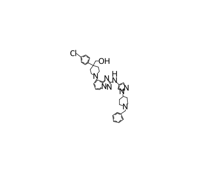 OCC1(c2ccc(Cl)cc2)CCN(c2cccn3nc(Nc4cnn(C5CCN(Cc6ccccc6)CC5)c4)nc23)CC1